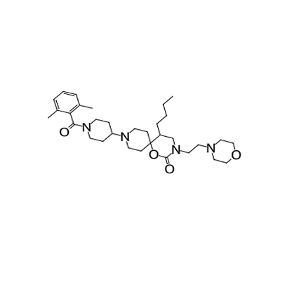 CCCCC1CN(CCN2CCOCC2)C(=O)OC12CCN(C1CCN(C(=O)c3c(C)cccc3C)CC1)CC2